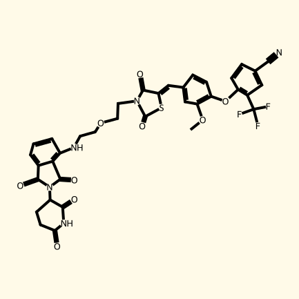 COc1cc(/C=C2\SC(=O)N(CCOCCNc3cccc4c3C(=O)N(C3CCC(=O)NC3=O)C4=O)C2=O)ccc1Oc1ccc(C#N)cc1C(F)(F)F